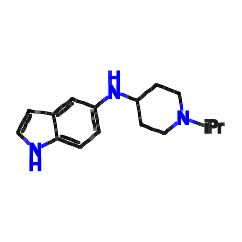 CC(C)N1CCC(Nc2ccc3[nH]ccc3c2)CC1